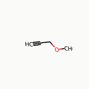 [CH]OCC#C